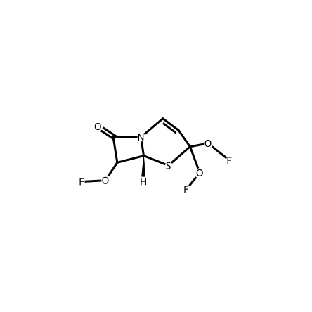 O=C1C(OF)[C@H]2SC(OF)(OF)C=CN12